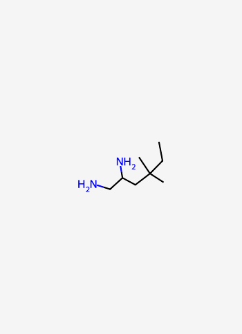 CCC(C)(C)CC(N)CN